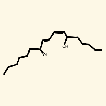 CCCCCCC(O)/C=[C]/C=C\C(O)CCCCC